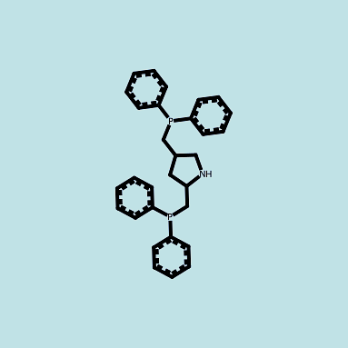 c1ccc(P(CC2CNC(CP(c3ccccc3)c3ccccc3)C2)c2ccccc2)cc1